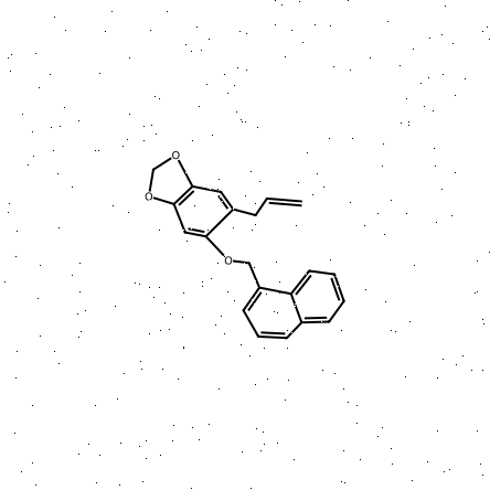 C=CCc1cc2c(cc1OCc1cccc3ccccc13)OCO2